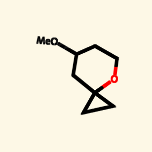 COC1CCOC2(CC2)C1